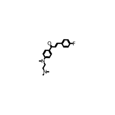 CN(C)CCN(C)c1ccc(C(=O)C=Cc2ccc(F)cc2)cc1